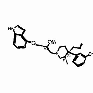 CCC[C@]1(c2cccc(O)c2)CCN(C[C@H](O)COc2cccc3[nH]ccc23)C[C@@H]1C